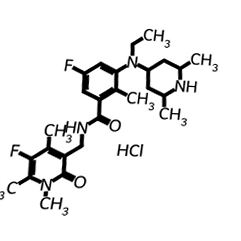 CCN(c1cc(F)cc(C(=O)NCc2c(C)c(F)c(C)n(C)c2=O)c1C)C1CC(C)NC(C)C1.Cl